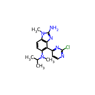 CC(C)N(C)c1ccc2c(nc(N)n2C)c1-c1ccnc(Cl)n1